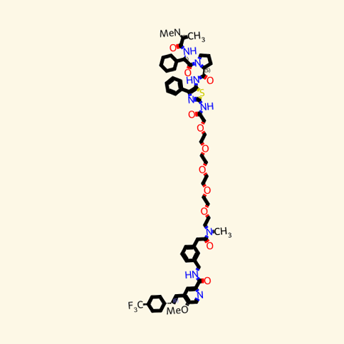 CN[C@@H](C)C(=O)N[C@H](C(=O)N1CCC[C@H]1C(=O)Nc1sc(NC(=O)COCCOCCOCCOCCOCCN(C)C(=O)Cc2cccc(CNC(=O)c3cc(/C=C/[C@H]4CC[C@H](C(F)(F)F)CC4)c(OC)cn3)c2)nc1-c1ccccc1)C1CCCCC1